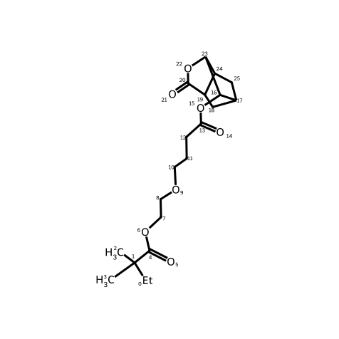 CCC(C)(C)C(=O)OCCOCCCC(=O)OC1C2CC3C(=O)OC1C3C2